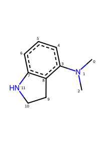 CN(C)c1cccc2c1CCN2